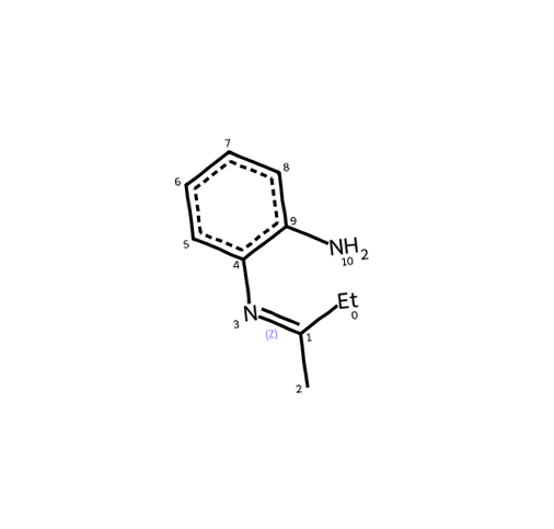 CC/C(C)=N\c1ccccc1N